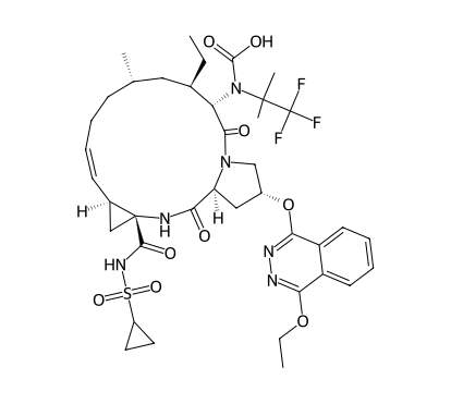 CCOc1nnc(O[C@@H]2C[C@H]3C(=O)N[C@]4(C(=O)NS(=O)(=O)C5CC5)C[C@H]4C=CCC[C@H](C)C[C@@H](CC)[C@H](N(C(=O)O)C(C)(C)C(F)(F)F)C(=O)N3C2)c2ccccc12